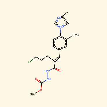 COc1cc(/C=C(\CCCCl)C(=O)NNC(=O)OC(C)(C)C)ccc1-n1cnc(C)c1